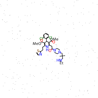 CCNCC(C)(C)CN1CCN(C(=O)CC2=C(C(=O)OC)C(c3c(Cl)cccc3Cl)C(C(=O)OC)=C(CCc3nccs3)N2)CC1